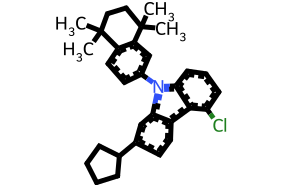 CC1(C)CCC(C)(C)c2cc(-n3c4cc(C5CCCC5)ccc4c4c(Cl)cccc43)ccc21